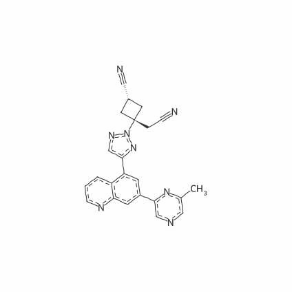 Cc1cncc(-c2cc(-c3cnn([C@]4(CC#N)C[C@H](C#N)C4)n3)c3cccnc3c2)n1